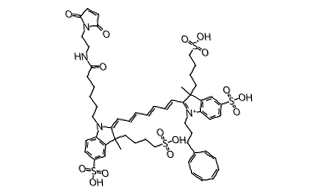 CC1(CCCCS(=O)(=O)O)C(/C=C/C=C/C=C/C=C2/N(CCCCCC(=O)NCCN3C(=O)C=CC3=O)c3ccc(S(=O)(=O)O)cc3C2(C)CCCCS(=O)(=O)O)=[N+](CCCC2=C/C=C\C=C/C=C\2)c2ccc(S(=O)(=O)O)cc21